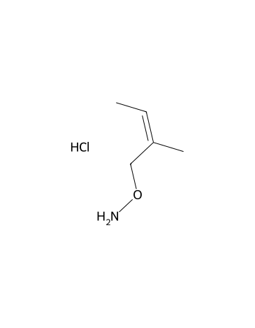 CC=C(C)CON.Cl